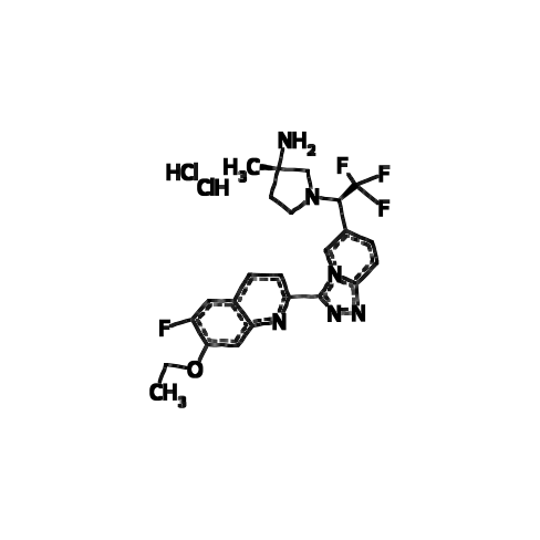 CCOc1cc2nc(-c3nnc4ccc([C@@H](N5CC[C@](C)(N)C5)C(F)(F)F)cn34)ccc2cc1F.Cl.Cl